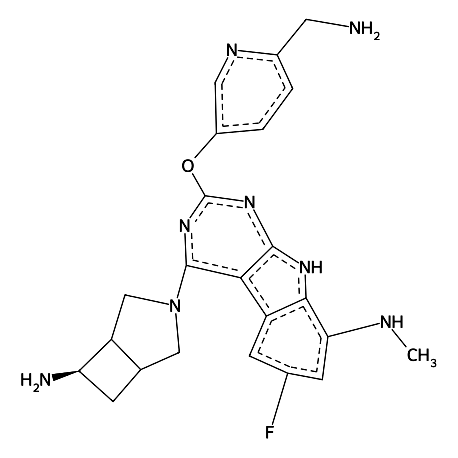 CNc1cc(F)cc2c1[nH]c1nc(Oc3ccc(CN)nc3)nc(N3CC4C[C@@H](N)C4C3)c12